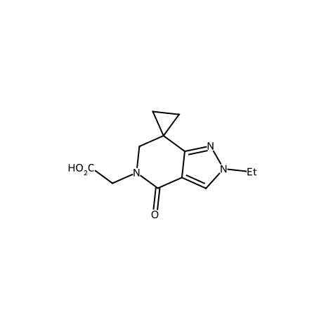 CCn1cc2c(n1)C1(CC1)CN(CC(=O)O)C2=O